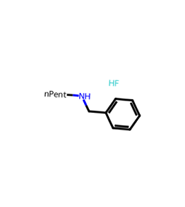 CCCCCNCc1ccccc1.F